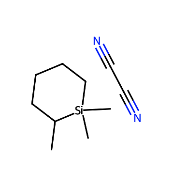 CC1CCCC[Si]1(C)C.N#CC#N